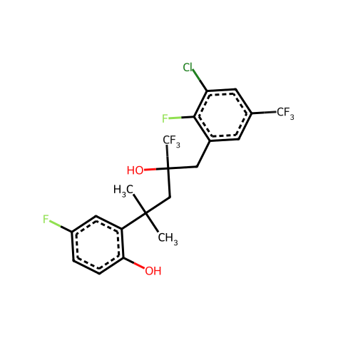 CC(C)(CC(O)(Cc1cc(C(F)(F)F)cc(Cl)c1F)C(F)(F)F)c1cc(F)ccc1O